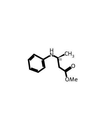 COC(=O)C[C@H](C)Nc1ccccc1